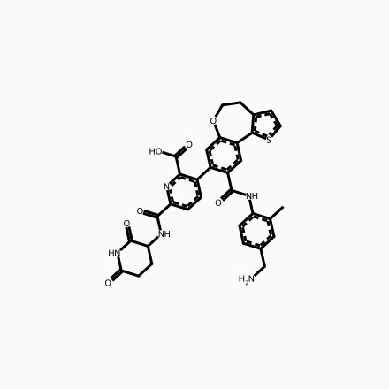 Cc1cc(CN)ccc1NC(=O)c1cc2c(cc1-c1ccc(C(=O)NC3CCC(=O)NC3=O)nc1C(=O)O)OCCc1ccsc1-2